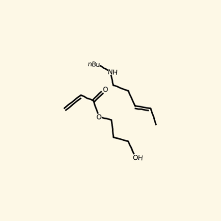 C=CC(=O)OCCCO.CC=CCCNCCCC